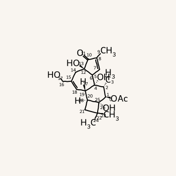 CC(=O)O[C@@H]1[C@@H](C)[C@]2(O)C3C=C(C)C(=O)[C@@]3(O)CC(CO)=C[C@H]2[C@@H]2CC(C)(C)[C@]12O